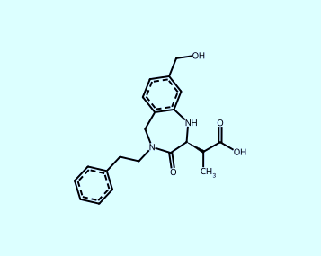 CC(C(=O)O)[C@@H]1Nc2cc(CO)ccc2CN(CCc2ccccc2)C1=O